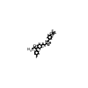 CN(C)C(c1ccc(F)cc1)C1CCC(C=Cc2nc(-c3ccc(OC(F)(F)F)cc3)no2)CC1